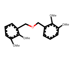 COc1cccc(COCc2cccc(OC)c2OC)c1OC